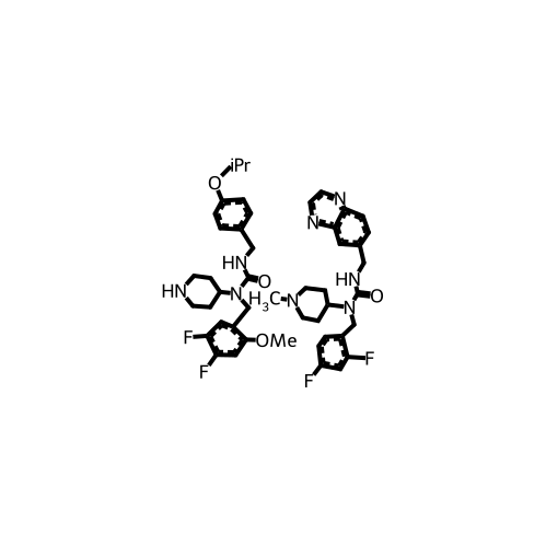 CN1CCC(N(Cc2ccc(F)cc2F)C(=O)NCc2ccc3nccnc3c2)CC1.COc1cc(F)c(F)cc1CN(C(=O)NCc1ccc(OC(C)C)cc1)C1CCNCC1